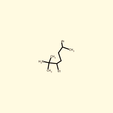 CCC(CCC(C)C(C)C)C(C)(C)N